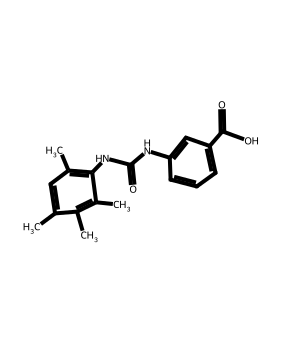 Cc1cc(C)c(NC(=O)Nc2cccc(C(=O)O)c2)c(C)c1C